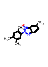 Cc1cc(C)c(-n2nc3ccc([N+](=O)[O-])cc3[n+]2[O-])cc1C